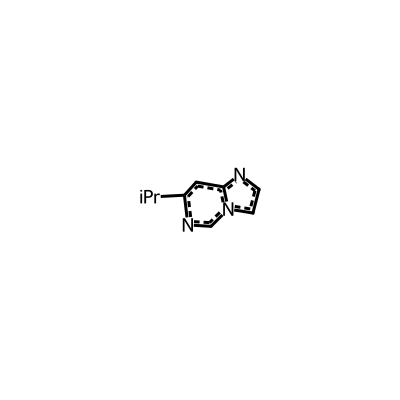 CC(C)c1cc2nccn2cn1